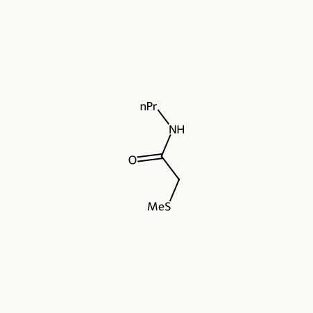 [CH2]CCNC(=O)CSC